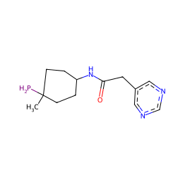 CC1(P)CCC(NC(=O)Cc2cncnc2)CC1